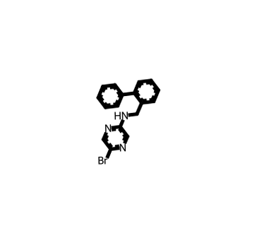 Brc1cnc(NCc2ccccc2-c2ccccc2)cn1